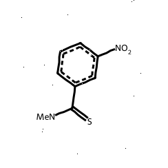 CNC(=S)c1cccc([N+](=O)[O-])c1